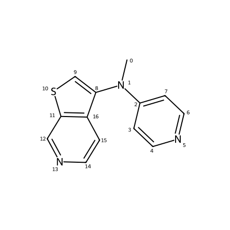 CN(c1ccncc1)c1csc2cnccc12